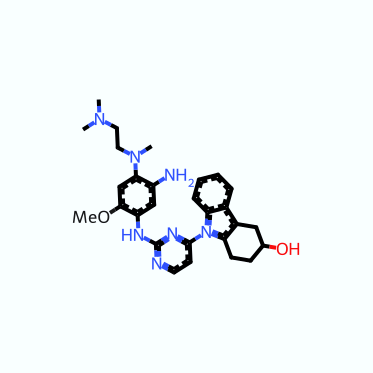 COc1cc(N(C)CCN(C)C)c(N)cc1Nc1nccc(-n2c3c(c4ccccc42)CC(O)CC3)n1